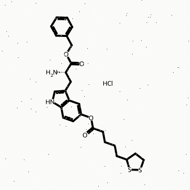 Cl.N[C@@H](Cc1c[nH]c2ccc(OC(=O)CCCCC3CCSS3)cc12)C(=O)OCc1ccccc1